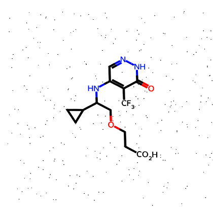 O=C(O)CCOCC(Nc1cn[nH]c(=O)c1C(F)(F)F)C1CC1